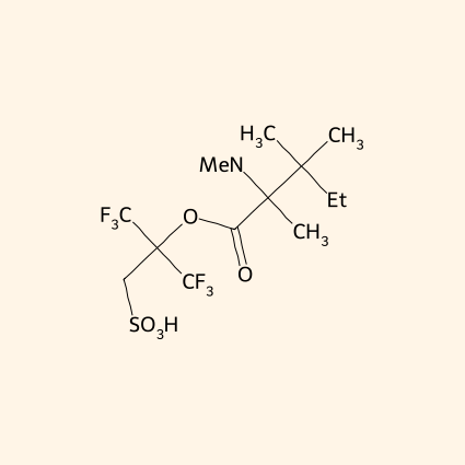 CCC(C)(C)C(C)(NC)C(=O)OC(CS(=O)(=O)O)(C(F)(F)F)C(F)(F)F